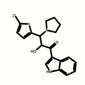 O=C(c1c[nH]c2ccccc12)C(O)C(c1ccc(Cl)s1)N1CCCC1